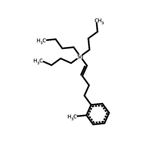 CCC[CH2][Sn](/[CH]=C/CCc1ccccc1C)([CH2]CCC)[CH2]CCC